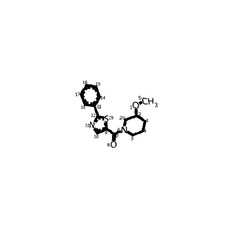 COC1CCCN(C(=O)c2cnc(-c3ccccc3)s2)C1